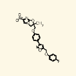 CC1(COc2ccc(-c3cc(COc4ccc(F)cc4)on3)cc2)Cn2cc([N+](=O)[O-])nc2O1